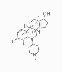 CN1CCC(=C2C[C@@H]3[C@@H](CC[C@]4(C)C(O)CC[C@@H]34)[C@@]3(C)C=CC(=O)N(C)C23)CC1